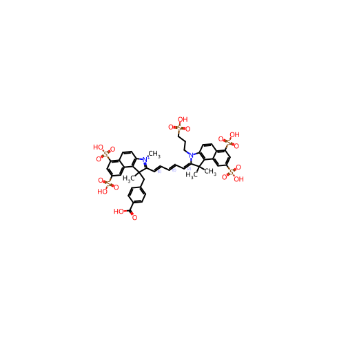 C[N+]1=C(/C=C/C=C/C=C2\N(CCCS(=O)(=O)O)c3ccc4c(S(=O)(=O)O)cc(S(=O)(=O)O)cc4c3C2(C)C)C(C)(Cc2ccc(C(=O)O)cc2)c2c1ccc1c(S(=O)(=O)O)cc(S(=O)(=O)O)cc21